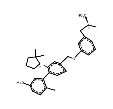 COc1ccc(F)c(-c2ccc(COc3cccc(C[C@H](C)C(=O)O)c3)cc2[C@@H]2CCCC2(C)C)c1